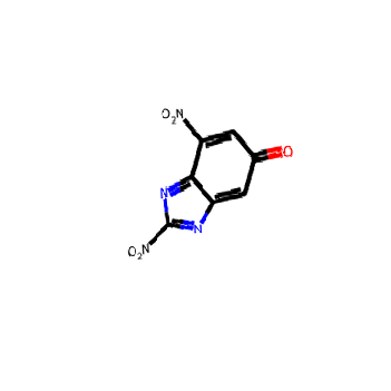 O=C1C=C2N=C([N+](=O)[O-])N=C2C([N+](=O)[O-])=C1